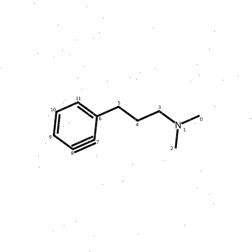 CN(C)CCCc1c#cccc1